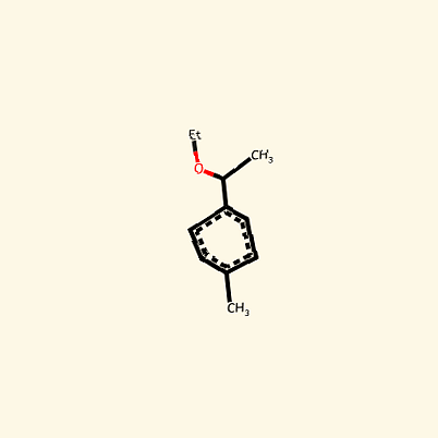 CCOC(C)c1ccc(C)cc1